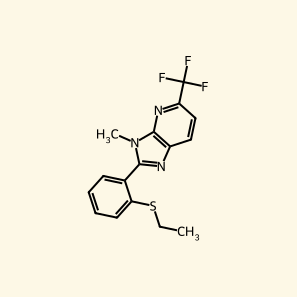 CCSc1ccccc1-c1nc2ccc(C(F)(F)F)nc2n1C